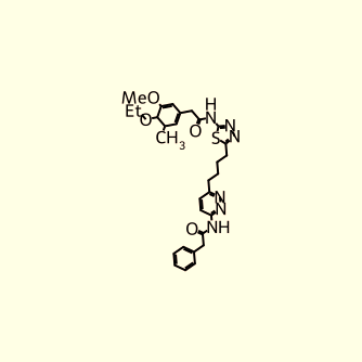 CCOC1C(OC)=CC(CC(=O)Nc2nnc(CCCCc3ccc(NC(=O)Cc4ccccc4)nn3)s2)=CC1C